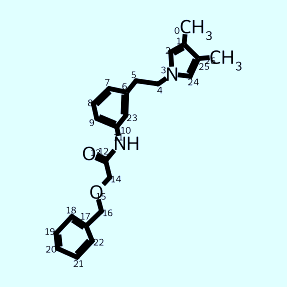 Cc1cn(CCc2cccc(NC(=O)COCc3ccccc3)c2)cc1C